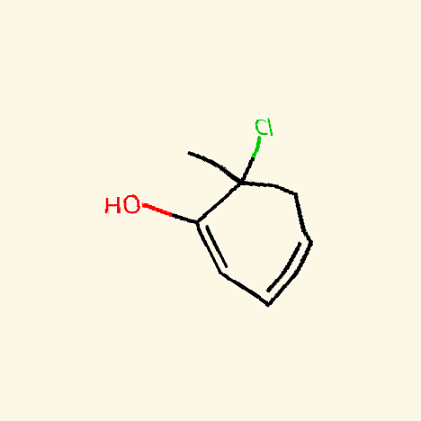 CC1(Cl)CC=CC=C1O